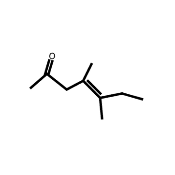 CC/C(C)=C(\C)CC(C)=O